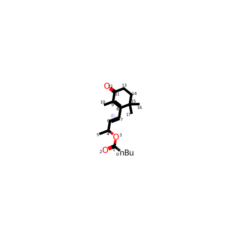 CCCCC(=O)OC(C)/C=C/C1=C(C)C(=O)CCC1(C)C